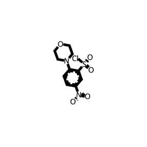 O=[N+]([O-])c1ccc(N2CCOCC2)c(S(=O)(=O)Cl)c1